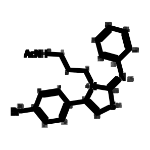 CC(=O)NCCCn1c(-c2ccc(Br)cc2)cs/c1=N/c1ccccc1